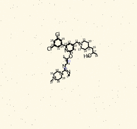 C=N/C(=N\C=C(/C)Oc1cc(CN2CCC(CC(C)O)CC2)cc(-c2cc(Cl)cc(Cl)c2)n1)N1CCN(C)CC1